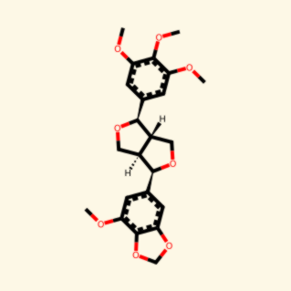 COc1cc([C@@H]2OC[C@H]3[C@H]2CO[C@H]3c2cc(OC)c3c(c2)OCO3)cc(OC)c1OC